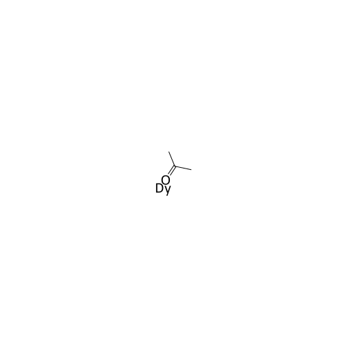 CC(C)=O.[Dy]